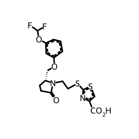 O=C(O)c1csc(SCCN2C(=O)CC[C@@H]2COc2cccc(OC(F)F)c2)n1